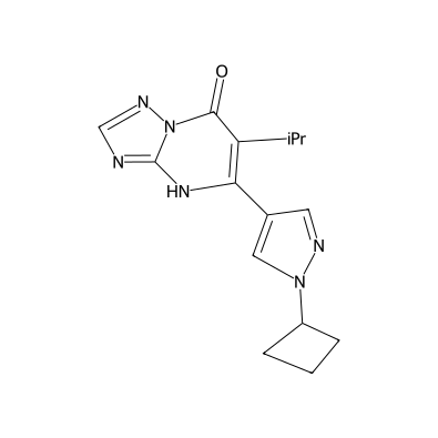 CC(C)c1c(-c2cnn(C3CCC3)c2)[nH]c2ncnn2c1=O